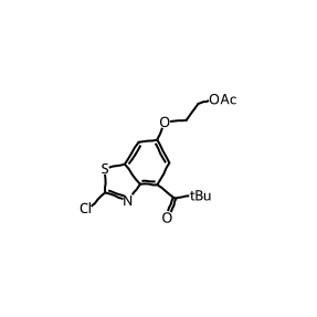 CC(=O)OCCOc1cc(C(=O)C(C)(C)C)c2nc(Cl)sc2c1